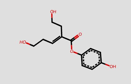 O=C(Oc1ccc(O)cc1)C(=CCCO)CCO